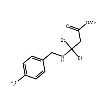 CCC(CC)(CC(=O)OC)NCc1ccc(C(F)(F)F)cc1